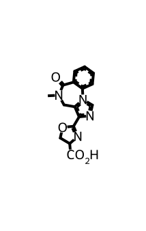 CN1Cc2c(C3=NC(C(=O)O)CO3)ncn2-c2ccccc2C1=O